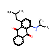 CC(C)Cc1ccc(NC(C)C)c2c1C(=O)c1ccccc1C2=O